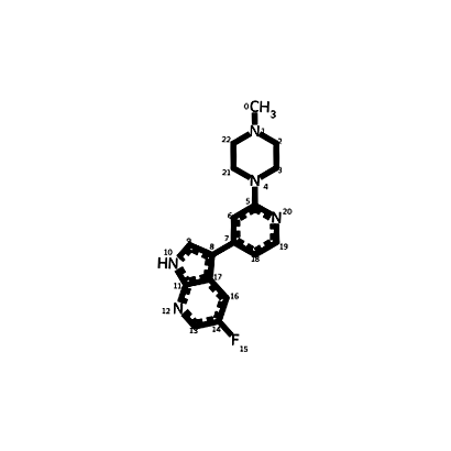 CN1CCN(c2cc(-c3c[nH]c4ncc(F)cc34)ccn2)CC1